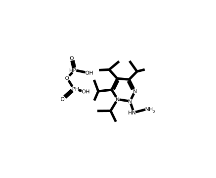 CC(C)C1=NN(NN)N(C(C)C)C(C(C)C)=C1C(C)C.O=[PH](O)O[PH](=O)O